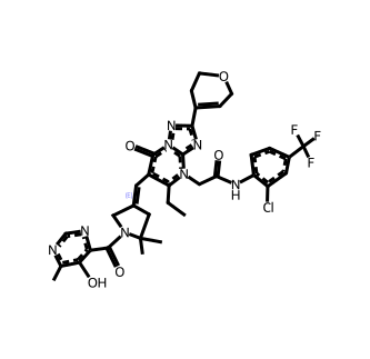 CCc1c(/C=C2/CN(C(=O)c3ncnc(C)c3O)C(C)(C)C2)c(=O)n2nc(C3=CCOCC3)nc2n1CC(=O)Nc1ccc(C(F)(F)F)cc1Cl